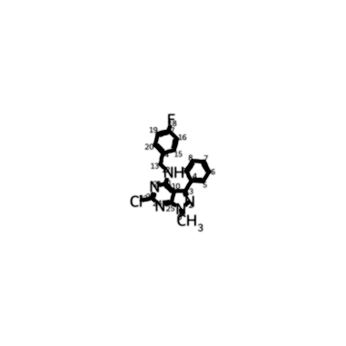 Cn1nc(-c2ccccc2)c2c(NCc3ccc(F)cc3)nc(Cl)nc21